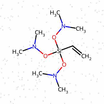 C=C[Si](ON(C)C)(ON(C)C)ON(C)C